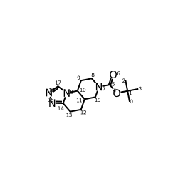 CC(C)(C)OC(=O)N1CCC2C(CCc3nncn32)C1